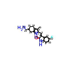 Cc1c(C=C2C(=O)Nc3ccc(F)cc32)[nH]c2c1CCC(CN)C2